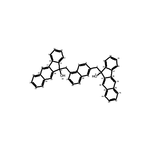 OC1(Cc2ccc3c(CC4(O)c5ccccc5-c5cc6ccccc6cc54)cccc3c2)c2ccccc2-c2cc3ccccc3cc21